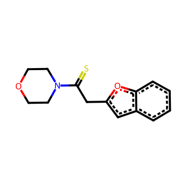 S=C(Cc1cc2ccccc2o1)N1CCOCC1